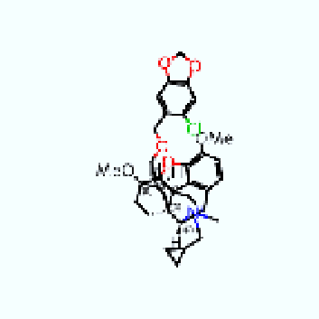 COc1ccc2c3c1O[C@H]1[C@@]4(OC)CC[C@@]5(C[C@@H]4COCc4cc6c(cc4Cl)OCO6)[C@@H](C2)[N+](C)(CC2CC2)CC[C@]315